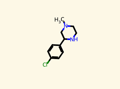 CN1CCNC(c2ccc(Cl)cc2)C1